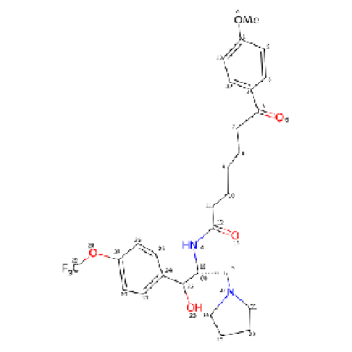 COc1ccc(C(=O)CCCCCC(=O)N[C@H](CN2CCCC2)C(O)c2ccc(OC(F)(F)F)cc2)cc1